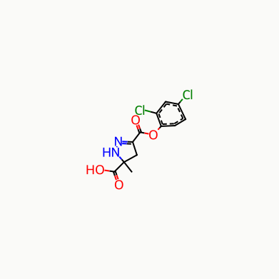 CC1(C(=O)O)CC(C(=O)Oc2ccc(Cl)cc2Cl)=NN1